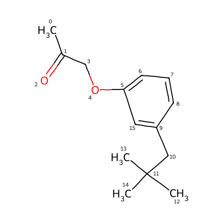 CC(=O)COc1cccc(CC(C)(C)C)c1